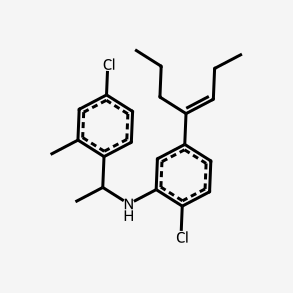 CC/C=C(\CCC)c1ccc(Cl)c(NC(C)c2ccc(Cl)cc2C)c1